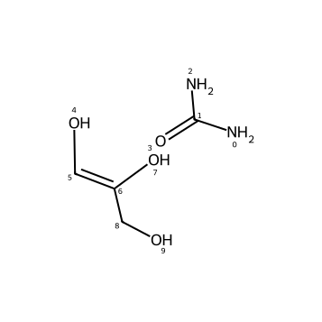 NC(N)=O.OC=C(O)CO